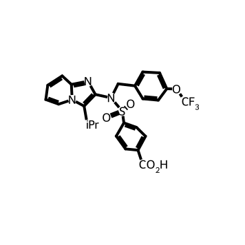 CC(C)c1c(N(Cc2ccc(OC(F)(F)F)cc2)S(=O)(=O)c2ccc(C(=O)O)cc2)nc2ccccn12